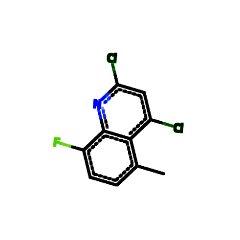 Cc1ccc(F)c2nc(Cl)cc(Cl)c12